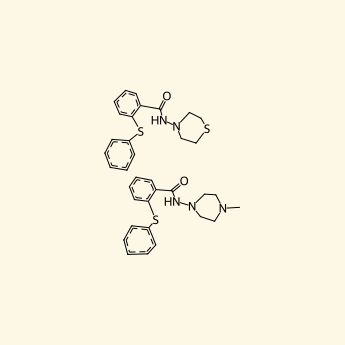 CN1CCN(NC(=O)c2ccccc2Sc2ccccc2)CC1.O=C(NN1CCSCC1)c1ccccc1Sc1ccccc1